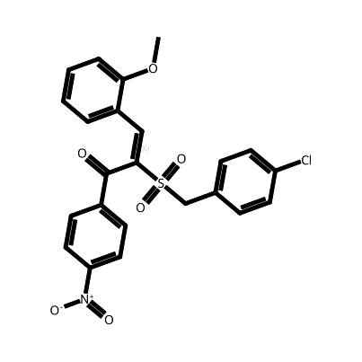 COc1ccccc1/C=C(\C(=O)c1ccc([N+](=O)[O-])cc1)S(=O)(=O)Cc1ccc(Cl)cc1